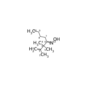 C=C(C)C(C)(C)/C(CCCC)=N/O